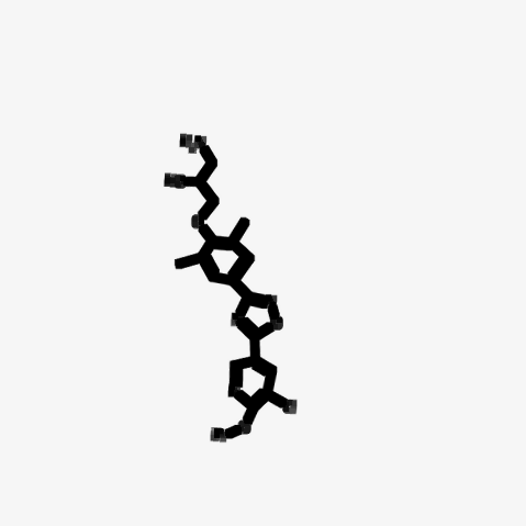 Cc1cc(-c2noc(-c3cnc(OC(C)C)c(Cl)c3)n2)cc(C)c1OCC(O)CN